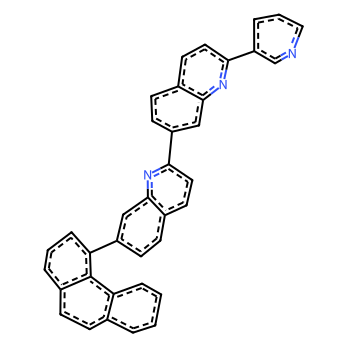 c1cncc(-c2ccc3ccc(-c4ccc5ccc(-c6cccc7ccc8ccccc8c67)cc5n4)cc3n2)c1